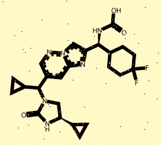 O=C(O)N[C@H](c1cn2ncc(C(C3CC3)N3C[C@@H](C4CC4)NC3=O)cc2n1)C1CCC(F)(F)CC1